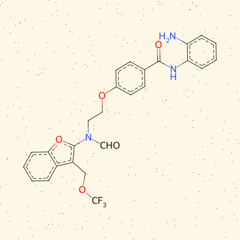 Nc1ccccc1NC(=O)c1ccc(OCCN(C=O)c2oc3ccccc3c2COC(F)(F)F)cc1